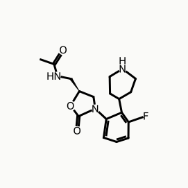 CC(=O)NC[C@H]1CN(c2cccc(F)c2C2CCNCC2)C(=O)O1